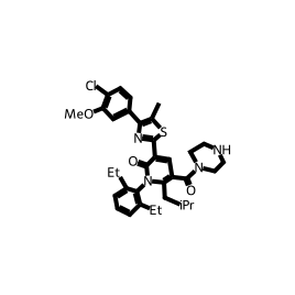 CCc1cccc(CC)c1-n1c(CC(C)C)c(C(=O)N2CCNCC2)cc(-c2nc(-c3ccc(Cl)c(OC)c3)c(C)s2)c1=O